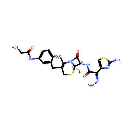 CO/N=C(\C(=O)N[C@@H]1C(=O)N2C(C(=O)O)=C(Cc3cccc(NC(=O)CSC)c3)CS[C@H]12)c1csc(N)n1